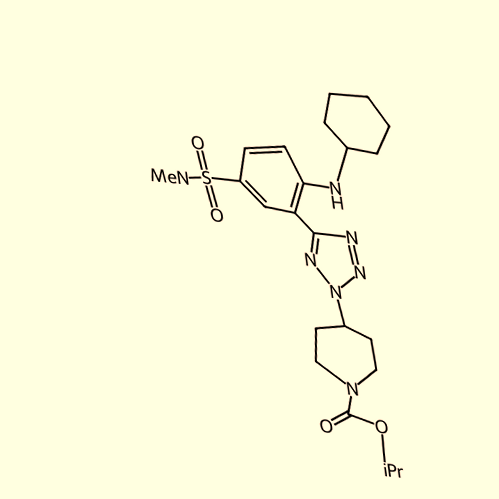 CNS(=O)(=O)c1ccc(NC2CCCCC2)c(-c2nnn(C3CCN(C(=O)OC(C)C)CC3)n2)c1